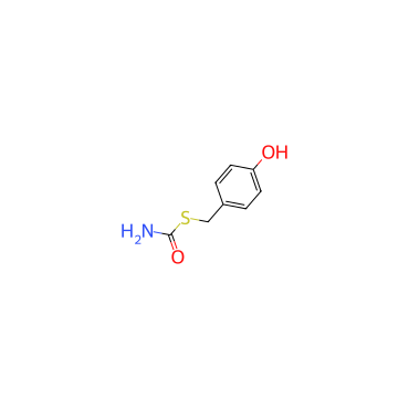 NC(=O)SCc1ccc(O)cc1